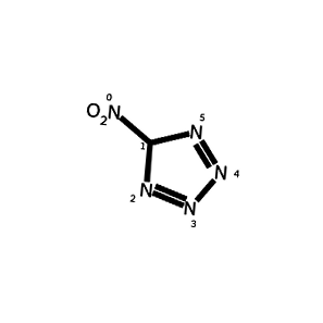 O=[N+]([O-])[C]1N=NN=N1